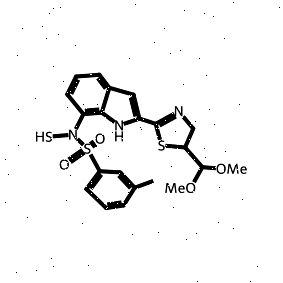 COC(OC)C1CN=C(c2cc3cccc(N(S)S(=O)(=O)c4cccc(C)c4)c3[nH]2)S1